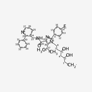 [CH2]CC(O)CC(O)CCn1c(-c2ccc(F)cc2)nc(C(=O)NCc2cccnc2-c2ccccc2)c1C(C)C